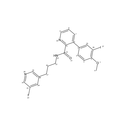 COc1ccc(-c2cccnc2C(=O)NCCCc2cncc(F)c2)cc1I